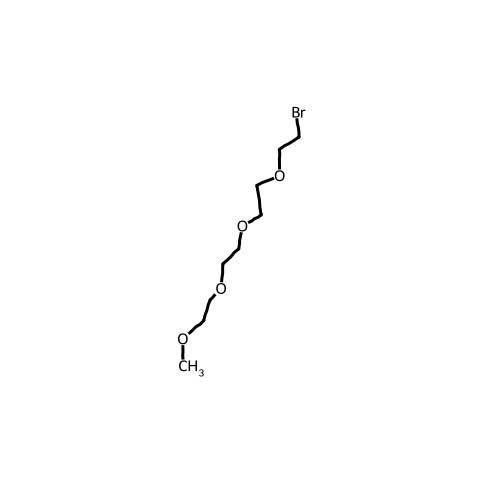 COCCOCCOCCOCCBr